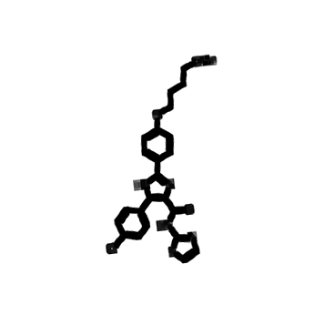 COCCCCOc1ccc(-c2nc(C(=O)Nc3nccs3)c(-c3ccc(Cl)cc3)[nH]2)cc1